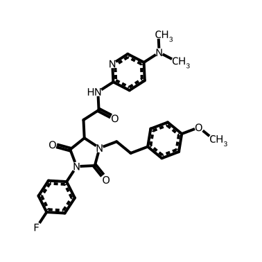 COc1ccc(CCN2C(=O)N(c3ccc(F)cc3)C(=O)C2CC(=O)Nc2ccc(N(C)C)cn2)cc1